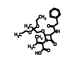 CCOC(C)(COC1C(NC(=O)Cc2ccccc2)C(=O)N1C(C(=O)O)=C(C)C)OCC